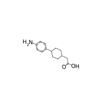 Nc1ccc(C2CCC(CC(=O)O)CC2)cc1